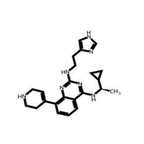 C[C@@H](Nc1nc(NCCc2c[nH]cn2)nc2c(C3=CCNCC3)cccc12)C1CC1